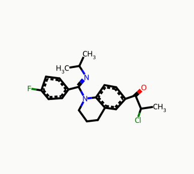 CC(C)N=C(c1ccc(F)cc1)N1CCCc2cc(C(=O)C(C)Cl)ccc21